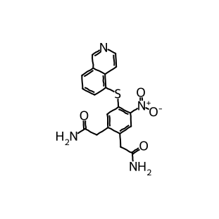 NC(=O)Cc1cc(Sc2cccc3cnccc23)c([N+](=O)[O-])cc1CC(N)=O